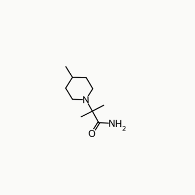 CC1CCN(C(C)(C)C(N)=O)CC1